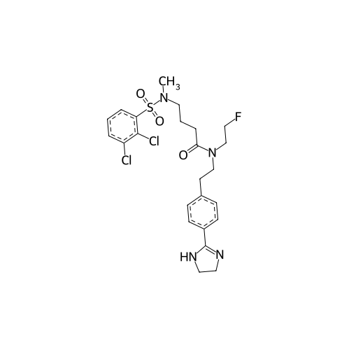 CN(CCCC(=O)N(CCF)CCc1ccc(C2=NCCN2)cc1)S(=O)(=O)c1cccc(Cl)c1Cl